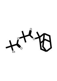 CCC(C)(C)C(=O)OC(C)(C)C(=O)OC1(C)C2CC3CC(C2)CC1C3